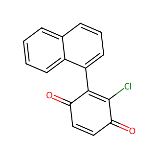 O=C1C=CC(=O)C(c2cccc3ccccc23)=C1Cl